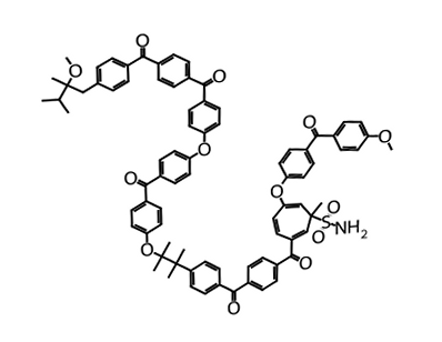 COc1ccc(C(=O)c2ccc(OC3=CC(C)(S(N)(=O)=O)C=C(C(=O)c4ccc(C(=O)c5ccc(C(C)(C)C(C)(C)Oc6ccc(C(=O)c7ccc(Oc8ccc(C(=O)c9ccc(C(=O)c%10ccc(CC(C)(OC)C(C)C)cc%10)cc9)cc8)cc7)cc6)cc5)cc4)C=C3)cc2)cc1